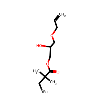 C=CCOCC(O)COC(=O)C(C)(C)CC(C)(C)C